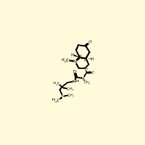 CN(C)CC(C)(C)CNC(=O)N(C)C(=O)[C@@H]1C[C@@H]2CC(=O)CC[C@H]2N(C)C1